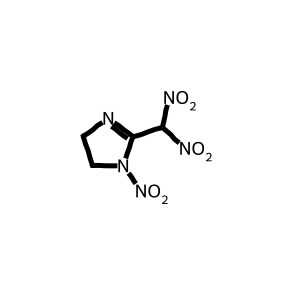 O=[N+]([O-])C(C1=NCCN1[N+](=O)[O-])[N+](=O)[O-]